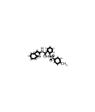 Cc1ccc(S(=O)(=O)Nc2ccccc2C(=O)Nc2cc3ccccc3s2)cc1